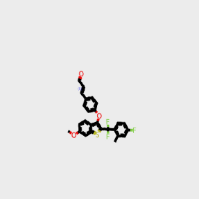 COc1ccc2c(Oc3ccc(/C=C/C=O)cc3)c(C(F)(F)c3ccc(F)cc3C)sc2c1